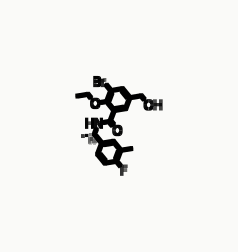 CCOc1c(Br)cc(CO)cc1C(=O)N[C@@H](C)c1ccc(F)c(C)c1